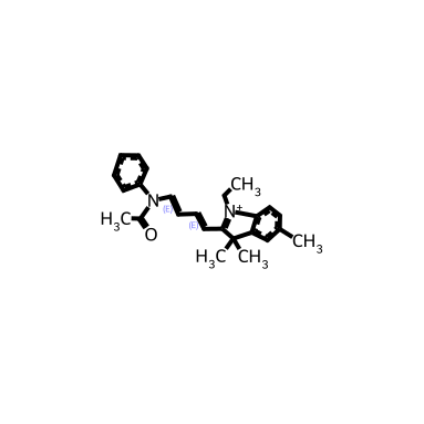 CC[N+]1=C(/C=C/C=C/N(C(C)=O)c2ccccc2)C(C)(C)c2cc(C)ccc21